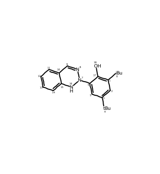 CCC(C)c1cc(C(C)(C)C)cc(N2N=Cc3ccccc3N2)c1O